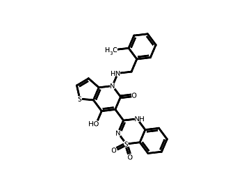 Cc1ccccc1CNn1c(=O)c(C2=NS(=O)(=O)c3ccccc3N2)c(O)c2sccc21